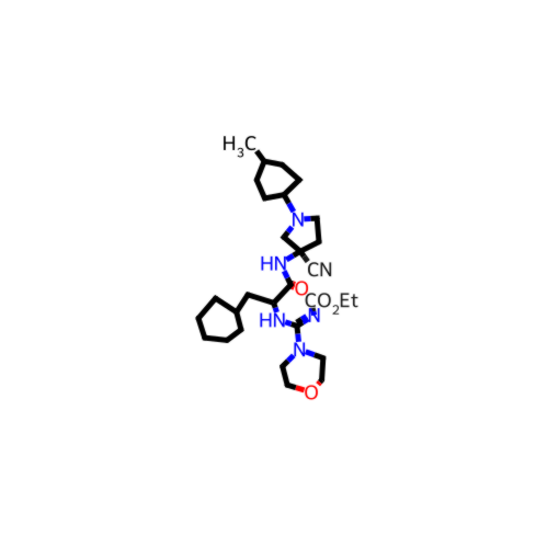 CCOC(=O)/N=C(\NC(CC1CCCCC1)C(=O)NC1(C#N)CCN(C2CCC(C)CC2)C1)N1CCOCC1